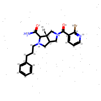 NC(=O)C1[C@@H]2CN(C(=O)c3cccnc3Br)CC2CN1CC[CH]c1ccccc1